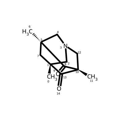 C[C@]12CN3C[C@](C)(C1)C(=O)[C@](C)(C3)C2=O